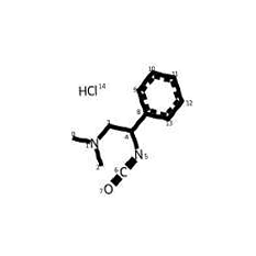 CN(C)CC(N=C=O)c1ccccc1.Cl